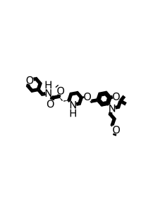 COCCCN1CC(C)(C)Oc2ccc(CO[C@@H]3CC[C@@H](C[C@@H](OC)C(=O)NCC4CCOCC4)NC3)cc21